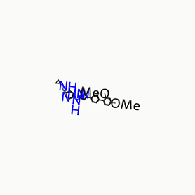 COc1ccc(-c2ccc(-c3cc(Nc4ccc(CNC5CC5)nc4)[nH]n3)cc2)c(OC)c1